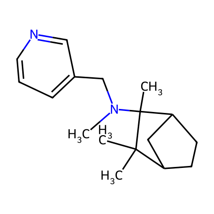 CN(Cc1cccnc1)C1(C)C2CCC(C2)C1(C)C